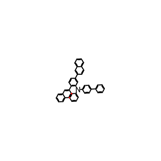 c1ccc(-c2ccc(N(c3ccccc3)c3cc(-c4ccc5ccccc5c4)ccc3-c3ccc4ccccc4c3)cc2)cc1